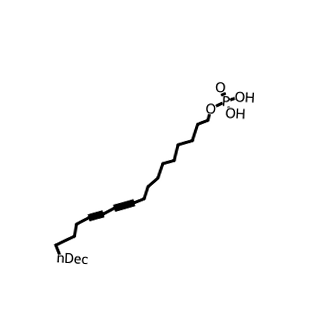 CCCCCCCCCCCCCC#CC#CCCCCCCCCCOP(=O)(O)O